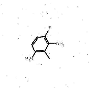 Cc1c(N)ccc(F)c1N